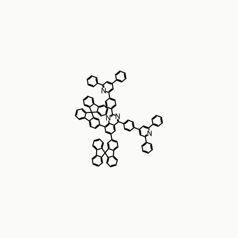 c1ccc(-c2cc(-c3ccccc3)nc(-c3ccc(-c4nc(-c5ccc(-c6cc(-c7ccccc7)nc(-c7ccccc7)c6)cc5)c5cc(-c6ccc7c(c6)C6(c8ccccc8-c8ccccc86)c6ccccc6-7)cc(-c6ccc7c(c6)C6(c8ccccc8-c8ccccc86)c6ccccc6-7)c5n4)cc3)c2)cc1